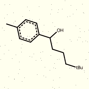 Cc1ccc(C(O)CCCC(C)(C)C)cc1